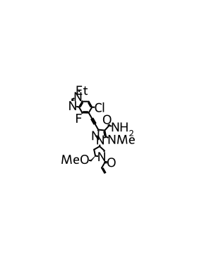 C=CC(=O)N1CC(n2nc(C#Cc3c(Cl)cc4c(ncn4CC)c3F)c(C(N)=O)c2NC)C[C@@H]1COC